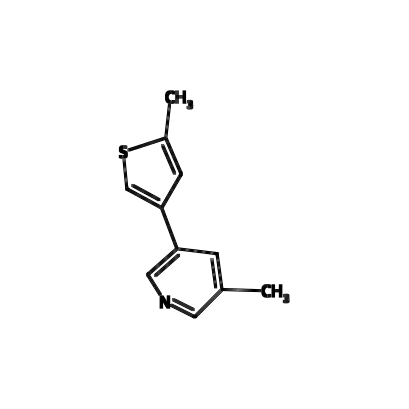 Cc1cncc(-c2csc(C)c2)c1